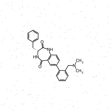 CN(C)Cc1ccccc1-c1ccc2c(c1)C(=O)N[C@H](Cc1ccccc1)C(=O)N2